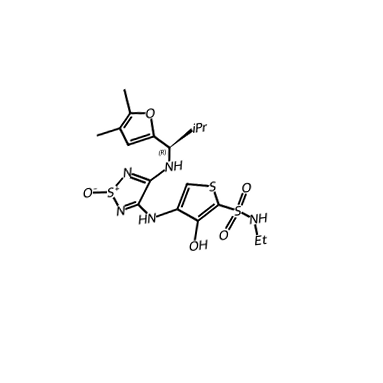 CCNS(=O)(=O)c1scc(Nc2n[s+]([O-])nc2N[C@@H](c2cc(C)c(C)o2)C(C)C)c1O